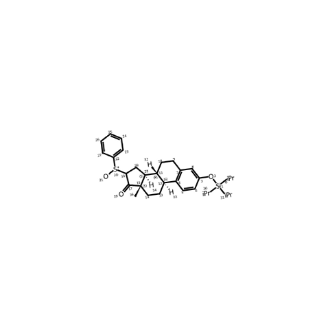 CC(C)[Si](Oc1ccc2c(c1)CC[C@@H]1[C@@H]2CC[C@]2(C)C(=O)C([S+]([O-])c3ccccc3)C[C@@H]12)(C(C)C)C(C)C